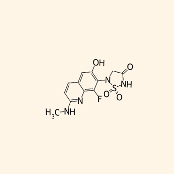 CNc1ccc2cc(O)c(N3CC(=O)NS3(=O)=O)c(F)c2n1